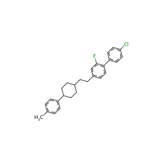 Cc1ccc(C2CCC(CCc3ccc(-c4ccc(Cl)cc4)c(F)c3)CC2)cc1